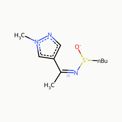 CCCC[S+]([O-])/N=C(/C)c1cnn(C)c1